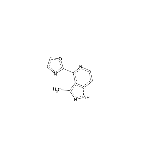 Cc1n[nH]c2ccnc(-c3ncco3)c12